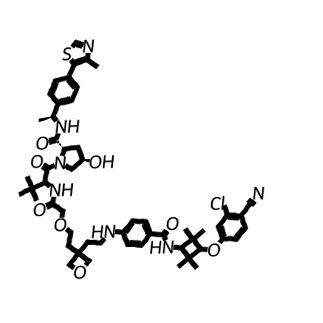 Cc1ncsc1-c1ccc([C@H](C)NC(=O)[C@@H]2C[C@@H](O)CN2C(=O)C(NC(=O)COCCC2(CCNc3ccc(C(=O)NC4C(C)(C)C(Oc5ccc(C#N)c(Cl)c5)C4(C)C)cc3)COC2)C(C)(C)C)cc1